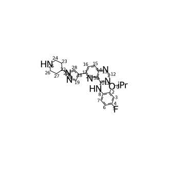 CC(C)Oc1cc(F)ccc1Nc1ncnc2ccc(-c3cnn(C4CCNCC4)c3)nc12